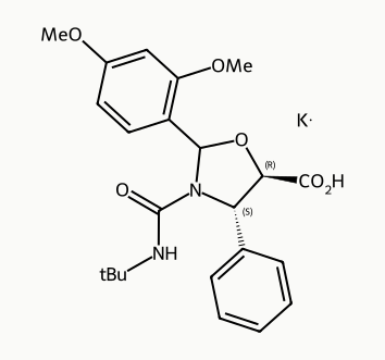 COc1ccc(C2O[C@@H](C(=O)O)[C@H](c3ccccc3)N2C(=O)NC(C)(C)C)c(OC)c1.[K]